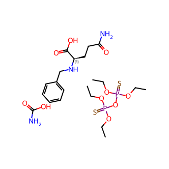 CCOP(=S)(OCC)OP(=S)(OCC)OCC.NC(=O)CC[C@@H](NCc1ccccc1)C(=O)O.NC(=O)O